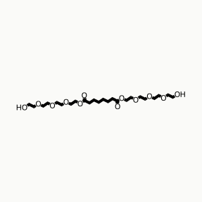 O=C(CCCCCCC(=O)OCCOCCOCCOCCO)OCCOCCOCCOCCO